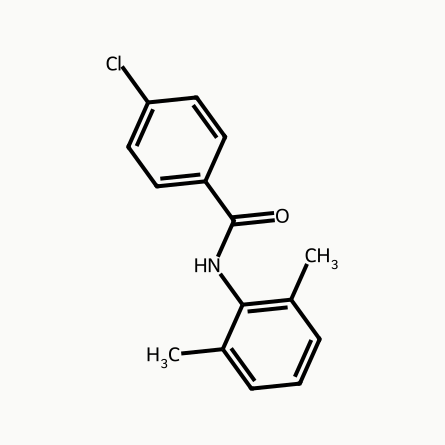 Cc1cccc(C)c1NC(=O)c1ccc(Cl)cc1